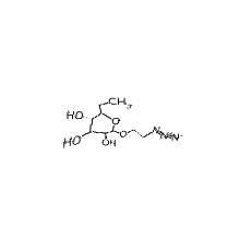 CCC1O[C@@H](OCCN=[N+]=[N-])[C@@H](O)C(O)[C@@H]1O